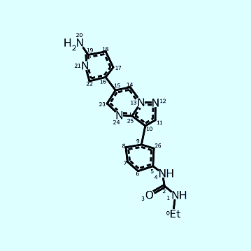 CCNC(=O)Nc1cccc(-c2cnn3cc(-c4ccc(N)nc4)cnc23)c1